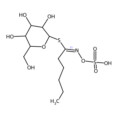 CCCCC/C(=N\OS(=O)(=O)O)SC1OC(CO)C(O)C(O)C1O